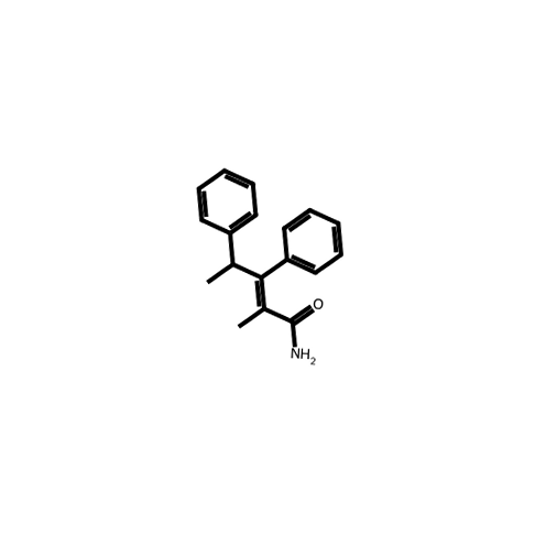 CC(C(N)=O)=C(c1ccccc1)C(C)c1ccccc1